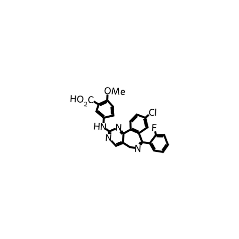 COc1ccc(Nc2ncc3c(n2)-c2ccc(Cl)cc2C(c2ccccc2F)=NC3)cc1C(=O)O